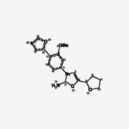 COc1cc(N2C=C(C3CCCO3)OC2N)ccc1-c1cnco1